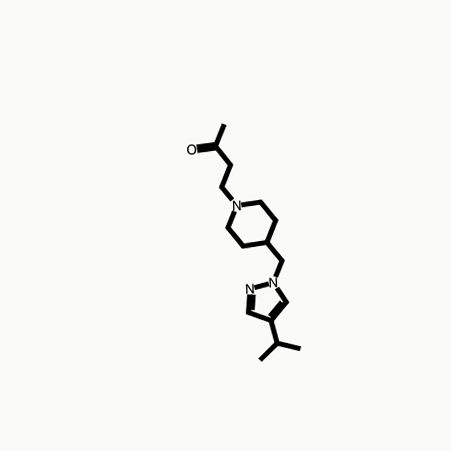 CC(=O)CCN1CCC(Cn2cc(C(C)C)cn2)CC1